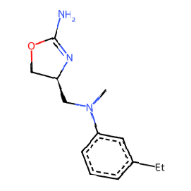 CCc1cccc(N(C)C[C@H]2COC(N)=N2)c1